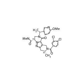 CNC(=O)[C@@H]1CN(C(C)c2ccc(OC)nc2)C(=O)c2c3c(nn21)C[C@@H](C)N(C(=O)c1ccc(Cl)c(Cl)c1)C3